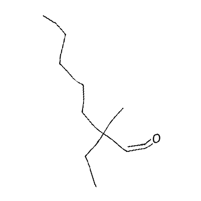 CCCCCC(C)(C=O)CC